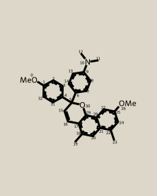 COc1ccc(C2(c3ccc(N(C)C)cc3)C=Cc3c(C)cc4c(C)cc(OC)cc4c3O2)cc1